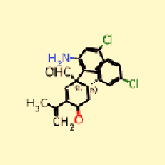 C=C(C)C1=C[C@](C=O)(c2ccc(Cl)cc2N)[C@H](c2cccc(Cl)c2)CC1=O